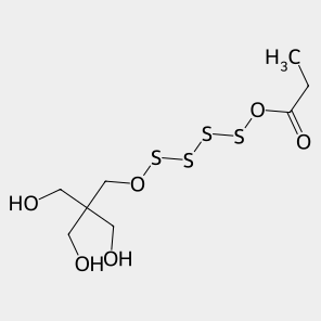 CCC(=O)OSSSSOCC(CO)(CO)CO